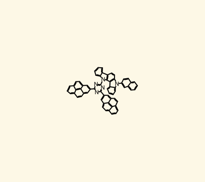 c1ccc2cc(-n3c4ccccc4c4c3ccc3c5ccccc5n(-c5nc(-c6cc7ccc8cccc9ccc(c6)c7c89)nc(-c6cc7ccc8cccc9ccc(c6)c7c89)n5)c34)ccc2c1